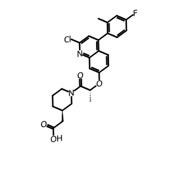 Cc1cc(F)ccc1-c1cc(Cl)nc2cc(O[C@H](C)C(=O)N3CCC[C@H](CC(=O)O)C3)ccc12